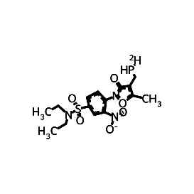 [2H]PCc1c(C)on(-c2ccc(S(=O)(=O)N(CC)CC)cc2[N+](=O)[O-])c1=O